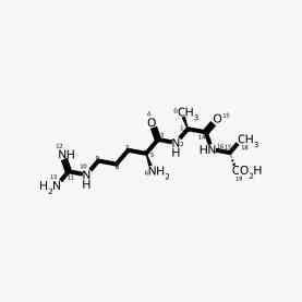 C[C@H](NC(=O)[C@@H](N)CCCNC(=N)N)C(=O)N[C@H](C)C(=O)O